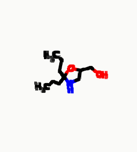 CCCC1(CCC)NCC(CO)O1